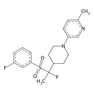 Cc1ccc(N2CCC(C(C)(F)S(=O)(=O)c3cccc(F)c3)CC2)cn1